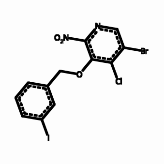 O=[N+]([O-])c1ncc(Br)c(Cl)c1OCc1cccc(I)c1